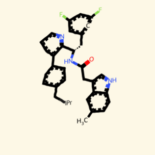 Cc1ccc2[nH]cc(CC(=O)N[C@@H](Cc3cc(F)cc(F)c3)c3ncccc3-c3ccc(CC(C)C)cc3)c2c1